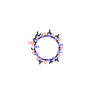 CCCC[C@@H](C)[C@@H](O)[C@@H]1C(=O)N[C@H](CC)C(=O)N(C)CC(=O)N(C)[C@@H](CC(C)C)C(=O)N[C@H](C(C)C)C(=O)N(C)[C@H](CC(C)C)C(=O)N[C@H](C)C(=O)N[C@@H](C)C(=O)N(C)[C@H](CC(C)C)C(=O)N(C)[C@H](CC(C)C)C(=O)N(C)[C@H](C(C)C)C(=O)N1C